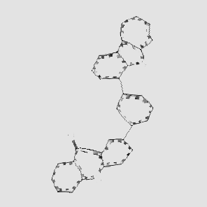 O=c1c2ccccc2sc2ccc(-c3cccc(-c4cccc5c4sc4ccccc45)c3)cc12